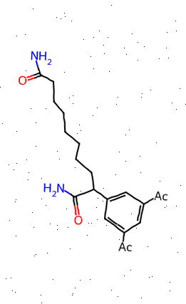 CC(=O)c1cc(C(C)=O)cc(C(CCCCCCCC(N)=O)C(N)=O)c1